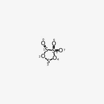 O=S1OSOS1(=O)=O